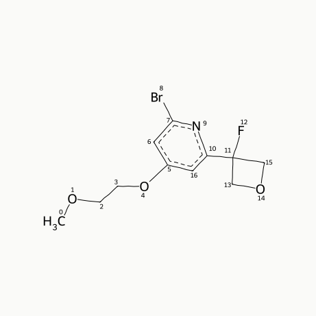 COCCOc1cc(Br)nc(C2(F)COC2)c1